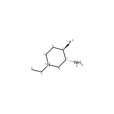 CCN1CC[C@@H](F)[C@H](N)C1